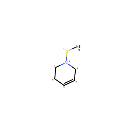 CCSN1CC=CCC1